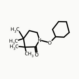 CC1(C)CCN(OC2CCCCC2)C(=O)C1(C)C